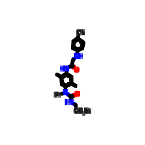 CCOC(=O)CNC(=O)N(c1cc(C)c(NC(=O)CNc2ccc(C#N)cc2)cc1C)C(C)C